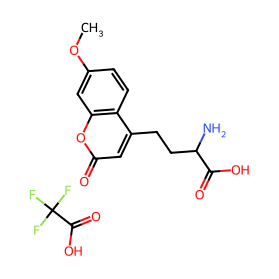 COc1ccc2c(CCC(N)C(=O)O)cc(=O)oc2c1.O=C(O)C(F)(F)F